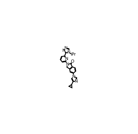 CC(C)n1cnnc1-c1cccc(N2Cc3cc(-n4cnc(C5CC5)c4)ccc3C2=O)n1